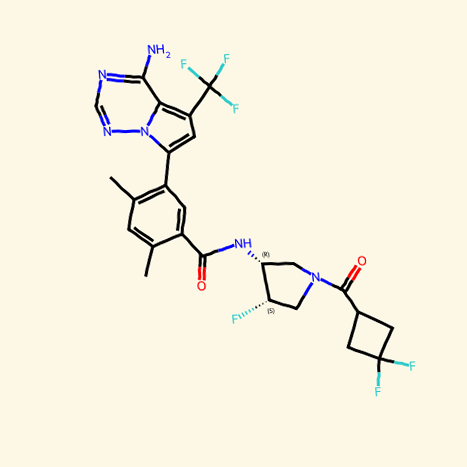 Cc1cc(C)c(-c2cc(C(F)(F)F)c3c(N)ncnn23)cc1C(=O)N[C@@H]1CN(C(=O)C2CC(F)(F)C2)C[C@@H]1F